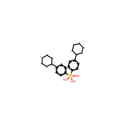 OP(O)(O)(c1ccc(C2CCCCC2)cc1)c1ccc(C2CCCCC2)cc1